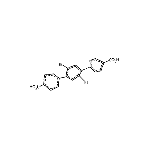 CCc1cc(-c2ccc(C(=O)O)cc2)c(CC)cc1-c1ccc(C(=O)O)cc1